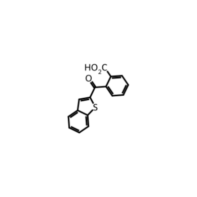 O=C(O)c1ccccc1C(=O)c1cc2ccccc2s1